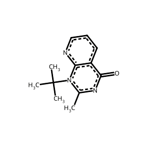 Cc1nc(=O)c2cccnc2n1C(C)(C)C